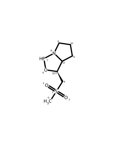 CS(=O)(=O)C[C@H]1OPN2CCCC12